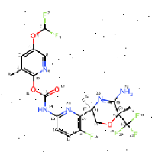 Cc1cc(OC(F)F)cnc1OC(=O)Nc1ccc(F)c([C@]2(C)CO[C@@](C)(C(F)(F)F)C(N)=N2)n1